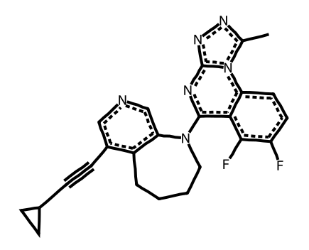 Cc1nnc2nc(N3CCCCc4c(C#CC5CC5)cncc43)c3c(F)c(F)ccc3n12